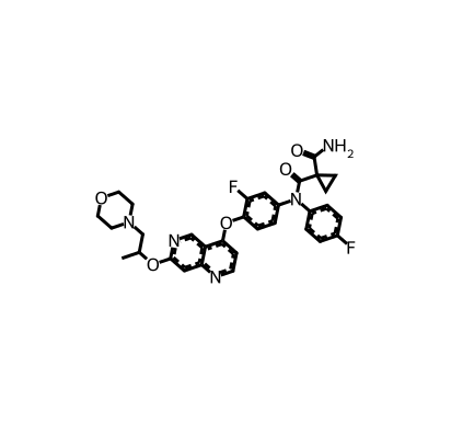 CC(CN1CCOCC1)Oc1cc2nccc(Oc3ccc(N(C(=O)C4(C(N)=O)CC4)c4ccc(F)cc4)cc3F)c2cn1